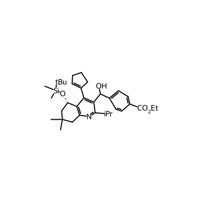 CCOC(=O)c1ccc(C(O)c2c(C(C)C)nc3c(c2C2=CCCC2)[C@@H](O[Si](C)(C)C(C)(C)C)CC(C)(C)C3)cc1